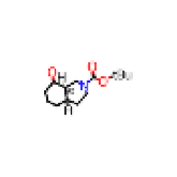 CC(C)(C)OC(=O)N1CC[C@H]2CCCC(=O)[C@H]2C1